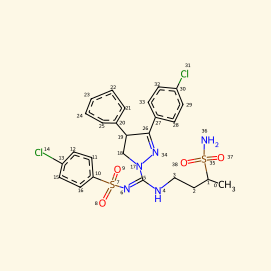 CC(CCNC(=NS(=O)(=O)c1ccc(Cl)cc1)N1CC(c2ccccc2)C(c2ccc(Cl)cc2)=N1)S(N)(=O)=O